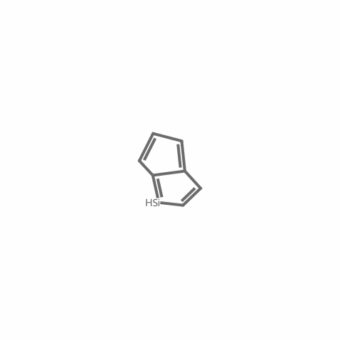 C1=CC2=[SiH]C=CC2=C1